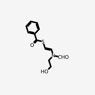 O=CN(C=CSC(=O)c1ccccc1)CCO